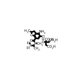 CCN(CC)C(C)N(C)C(=O)c1cc(Cl)c(N)c2c1OC(C)C2.O=C(O)CC(O)(CC(=O)O)C(=O)O